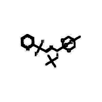 CC(C)(C)C[C@H](N=CC(F)(F)c1ccccn1)C12OCC(C)(CO1)CO2